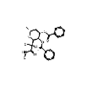 C[C@@H]1C[C@H](OC(=O)c2ccccc2)[C@@H](OC(=O)c2ccccc2)C(C(Cl)(Cl)C(=O)NCl)O1